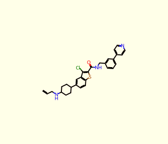 C=CCNC1CCC(c2ccc3sc(C(=O)NCc4cccc(-c5ccncc5)c4)c(Cl)c3c2)CC1